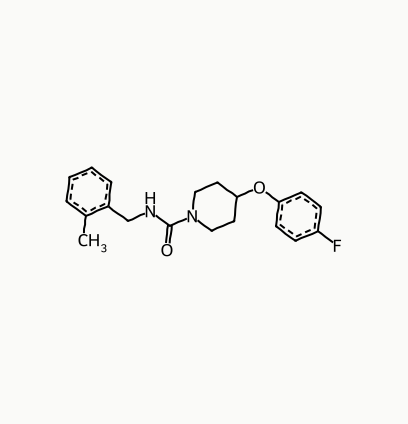 Cc1ccccc1CNC(=O)N1CCC(Oc2ccc(F)cc2)CC1